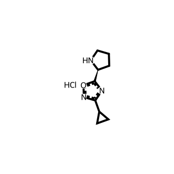 C1CN[C@H](c2nc(C3CC3)no2)C1.Cl